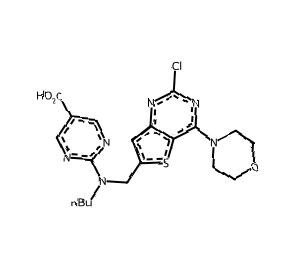 CCCCN(Cc1cc2nc(Cl)nc(N3CCOCC3)c2s1)c1ncc(C(=O)O)cn1